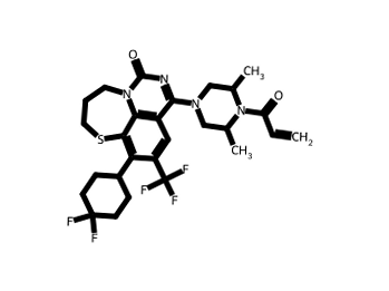 C=CC(=O)N1C(C)CN(c2nc(=O)n3c4c(c(C5CCC(F)(F)CC5)c(C(F)(F)F)cc24)SCCC3)CC1C